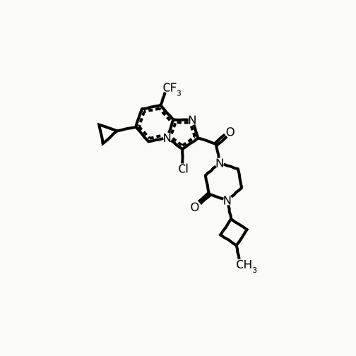 CC1CC(N2CCN(C(=O)c3nc4c(C(F)(F)F)cc(C5CC5)cn4c3Cl)CC2=O)C1